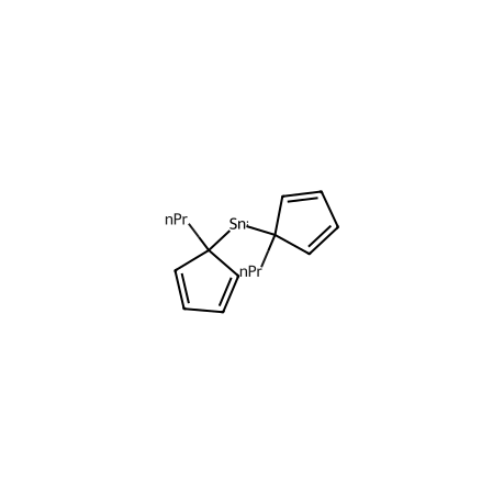 CCC[C]1([Sn][C]2(CCC)C=CC=C2)C=CC=C1